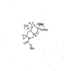 CO[C@@]1(C)O[C@@H]2[C@@H](CO)C3(CC3)N(C(=O)OC(C)(C)C)C[C@H]2O[C@]1(C)OC